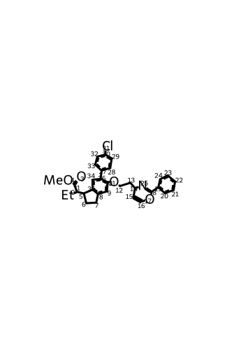 CCC(C(=O)OC)C1CCc2cc(OCCC3C#COC(c4ccccc4)=N3)c(-c3ccc(Cl)cc3)cc21